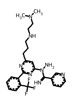 CN(C)CCNCCCc1cc(N(N)C(=N)c2cccnc2)nc(-c2ccccc2C(F)(F)F)n1